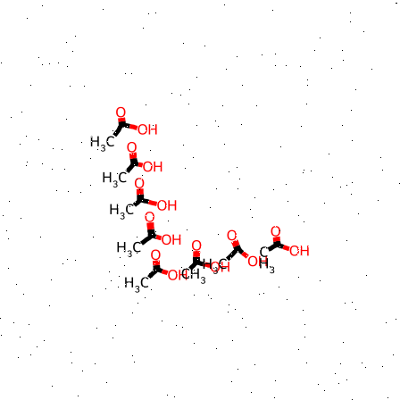 CC(=O)O.CC(=O)O.CC(=O)O.CC(=O)O.CC(=O)O.CC(=O)O.CC(=O)O.CC(=O)O